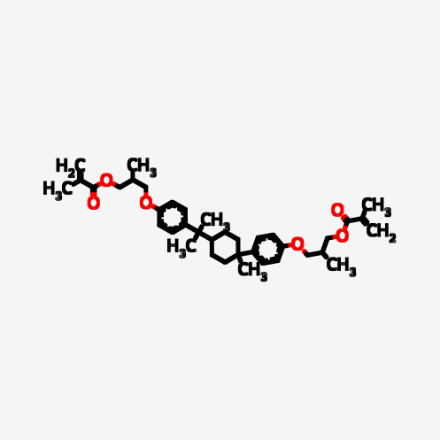 C=C(C)C(=O)OCC(C)COc1ccc(C2(C)CCC(C(C)(C)c3ccc(OCC(C)COC(=O)C(=C)C)cc3)CC2)cc1